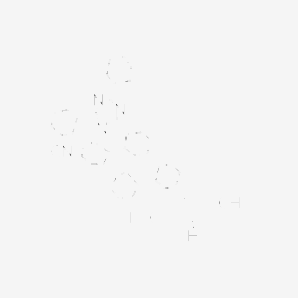 CC1C[C@@H]2C[C@H](C)CC(c3ccc(-c4ccc(-c5nc(-c6ccccc6)nc(-c6cccc(C#N)c6)n5)c(-c5ccccc5)c4-c4ccccc4)cc3)(C1)C2